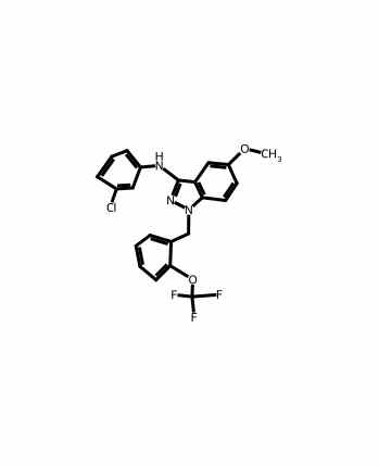 COc1ccc2c(c1)c(Nc1cccc(Cl)c1)nn2Cc1ccccc1OC(F)(F)F